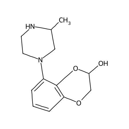 CC1CN(c2cccc3c2OC(O)CO3)CCN1